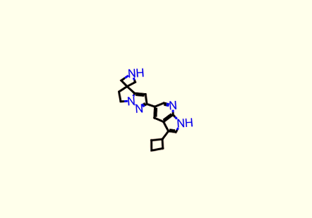 c1nc2[nH]cc(C3CCC3)c2cc1-c1cc2n(n1)CCC21CNC1